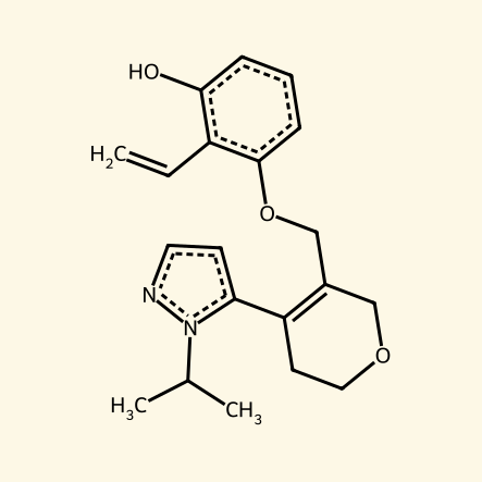 C=Cc1c(O)cccc1OCC1=C(c2ccnn2C(C)C)CCOC1